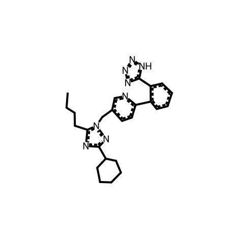 CCCCc1nc(C2CCCCC2)nn1Cc1ccc(-c2ccccc2-c2nnn[nH]2)nc1